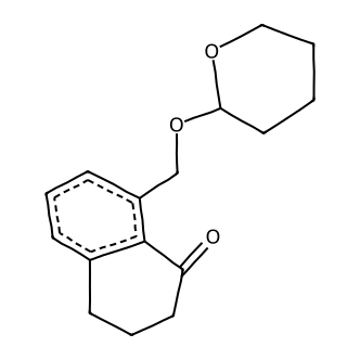 O=C1CCCc2cccc(COC3CCCCO3)c21